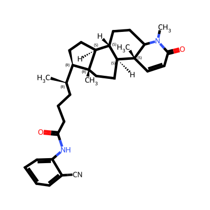 C[C@H](CCCC(=O)Nc1ccccc1C#N)[C@H]1CC[C@H]2[C@@H]3CCC4N(C)C(=O)C=C[C@]4(C)[C@H]3CC[C@]12C